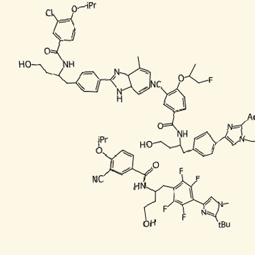 CC(=O)c1nc(-c2ccc(CC(CCO)NC(=O)c3ccc(OC(C)CF)c(C#N)c3)cc2)cn1C.CC(C)Oc1ccc(C(=O)NC(CCO)Cc2c(F)c(F)c(-c3cn(C)c(C(C)(C)C)n3)c(F)c2F)cc1C#N.CC1=CC=CC2NC(c3ccc(CC(CCO)NC(=O)c4ccc(OC(C)C)c(Cl)c4)cc3)=NC12